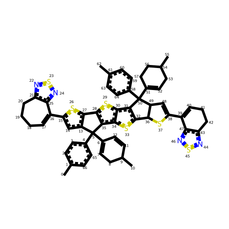 Cc1ccc(C2(C3=CCC(C)C=C3)c3cc(C4=CCCCc5nsnc54)sc3-c3sc4c5c(sc4c32)C2SC(C3=CCCc4nsnc43)=CC2C5(C2=CCC(C)CC2)c2ccc(C)cc2)cc1